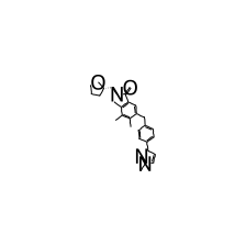 Cc1c(Cc2ccc(-c3ccn(C)n3)cc2)cc2c(c1C)CN(C[C@@H]1CCCO1)C2=O